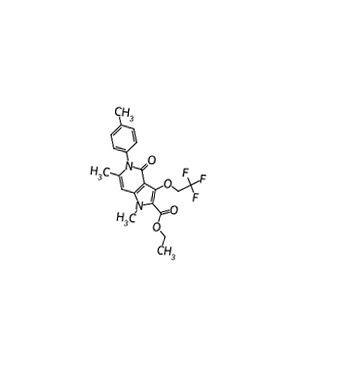 CCOC(=O)c1c(OCC(F)(F)F)c2c(=O)n(-c3ccc(C)cc3)c(C)cc2n1C